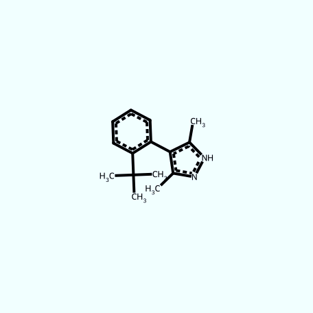 Cc1n[nH]c(C)c1-c1ccccc1C(C)(C)C